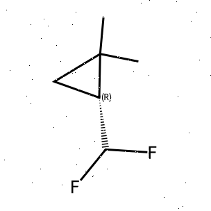 CC1(C)C[C@H]1C(F)F